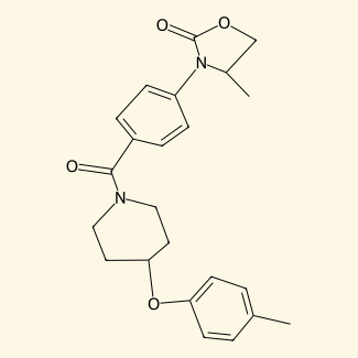 Cc1ccc(OC2CCN(C(=O)c3ccc(N4C(=O)OCC4C)cc3)CC2)cc1